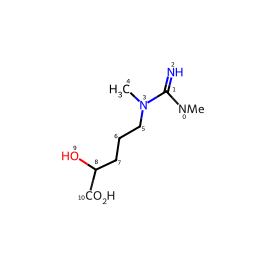 CNC(=N)N(C)CCCC(O)C(=O)O